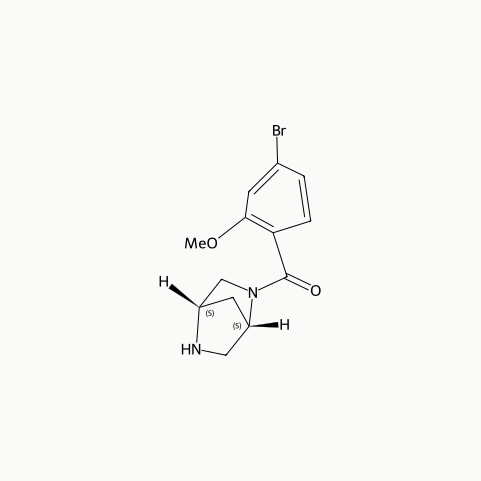 COc1cc(Br)ccc1C(=O)N1C[C@@H]2C[C@H]1CN2